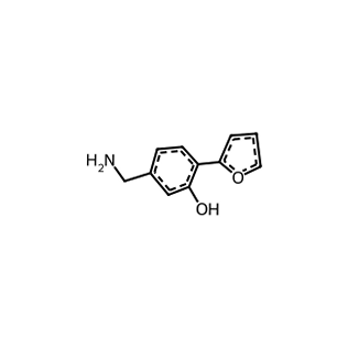 NCc1ccc(-c2ccco2)c(O)c1